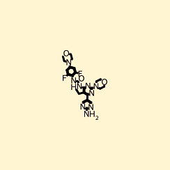 Nc1ncc(-c2nc(N3CCOCC3)nc3c2CCN3C(=O)Nc2c(F)cc(N3CCOCC3)cc2F)cn1